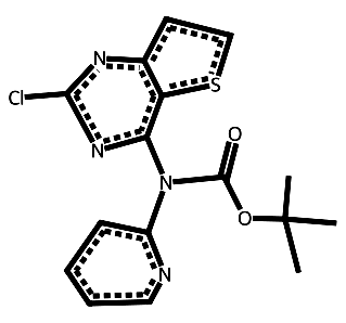 CC(C)(C)OC(=O)N(c1ccccn1)c1nc(Cl)nc2ccsc12